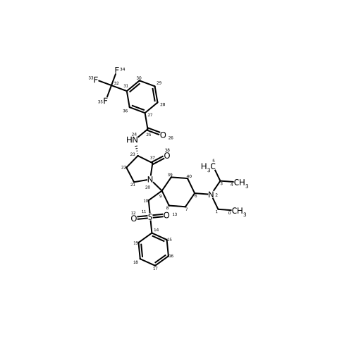 CCN(C(C)C)C1CCC(CS(=O)(=O)c2ccccc2)(N2CC[C@H](NC(=O)c3cccc(C(F)(F)F)c3)C2=O)CC1